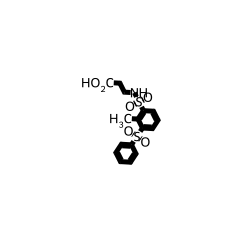 Cc1c(S(=O)(=O)NCCC(=O)O)cccc1S(=O)(=O)c1ccccc1